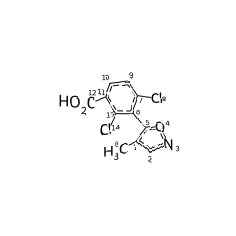 Cc1cnoc1-c1c(Cl)ccc(C(=O)O)c1Cl